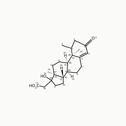 CC1CC(=O)C=C2CC[C@@H]3[C@@H](CC[C@@]4(C)[C@H]3CCC4(O)CC(=O)O)[C@]21C